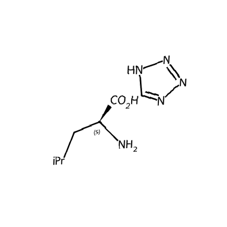 CC(C)C[C@H](N)C(=O)O.c1nnn[nH]1